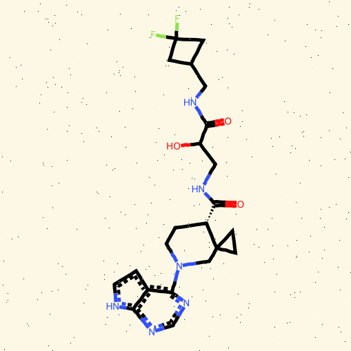 O=C(NCC1CC(F)(F)C1)C(O)CNC(=O)[C@H]1CCN(c2ncnc3[nH]ccc23)CC12CC2